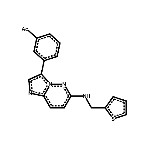 CC(=O)c1cccc(-c2cnc3ccc(NCc4cccs4)nn23)c1